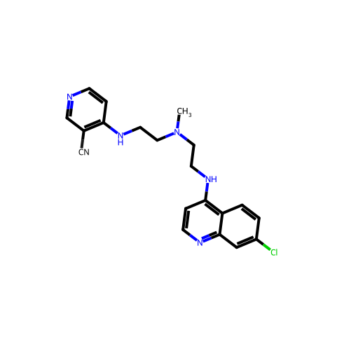 CN(CCNc1ccncc1C#N)CCNc1ccnc2cc(Cl)ccc12